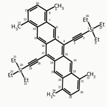 CC[Si](C#Cc1c2cc3c(C)ccc(C)c3cc2c(C#C[Si](CC)(CC)CC)c2cc3c(C)ccc(C)c3cc12)(CC)CC